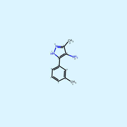 Cc1cccc(-c2[nH]nc(C)c2N)c1